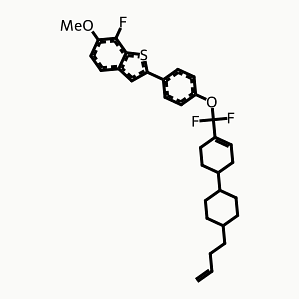 C=CCCC1CCC(C2CC=C(C(F)(F)Oc3ccc(-c4cc5ccc(OC)c(F)c5s4)cc3)CC2)CC1